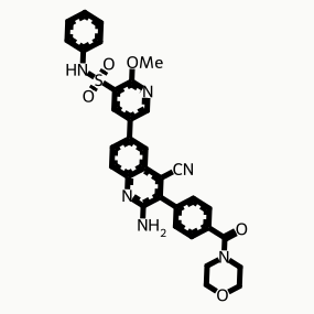 COc1ncc(-c2ccc3nc(N)c(-c4ccc(C(=O)N5CCOCC5)cc4)c(C#N)c3c2)cc1S(=O)(=O)Nc1ccccc1